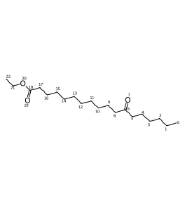 CCCCCCC(=O)CCCCCCCCCCC(=O)OCC